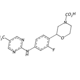 O=C(O)N1CCOC(c2ccc(Nc3ncc(C(F)(F)F)cn3)cc2F)C1